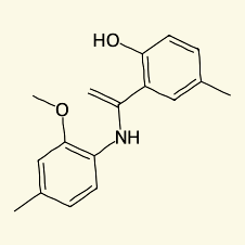 C=C(Nc1ccc(C)cc1OC)c1cc(C)ccc1O